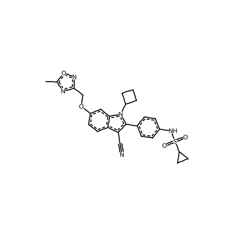 Cc1nc(COc2ccc3c(C#N)c(-c4ccc(NS(=O)(=O)C5CC5)cc4)n(C4CCC4)c3c2)no1